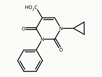 O=C(O)c1cn(C2CC2)c(=O)n(-c2ccccc2)c1=O